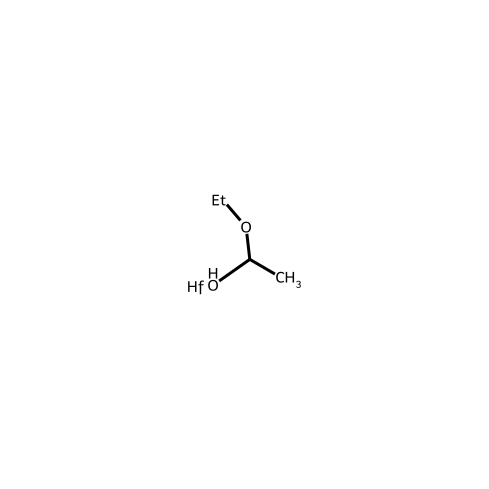 CCOC(C)O.[Hf]